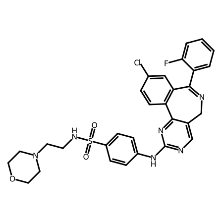 O=S(=O)(NCCN1CCOCC1)c1ccc(Nc2ncc3c(n2)-c2ccc(Cl)cc2C(c2ccccc2F)=NC3)cc1